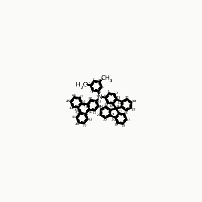 Cc1cc(C)cc(N(c2ccc3c(c2)C2(c4ccccc4-c4ccccc42)c2ccccc2-3)c2ccc3c4ccccc4c4ccccc4c3c2)c1